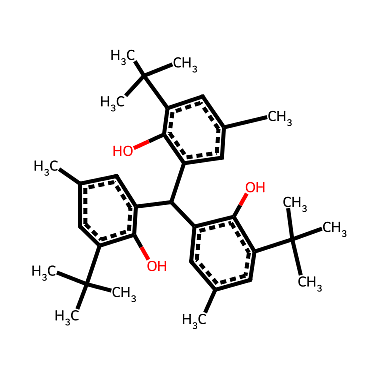 Cc1cc(C(c2cc(C)cc(C(C)(C)C)c2O)c2cc(C)cc(C(C)(C)C)c2O)c(O)c(C(C)(C)C)c1